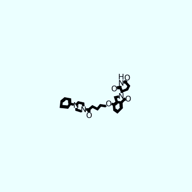 O=C1CCC(N2Cc3c(OCCCCC(=O)N4CCN(c5ccccc5)CC4)cccc3C2=O)C(=O)N1